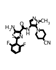 Cn1ncc(NC(=O)c2nc(-c3c(F)cccc3F)sc2N)c1N1CCC(C#N)CC1